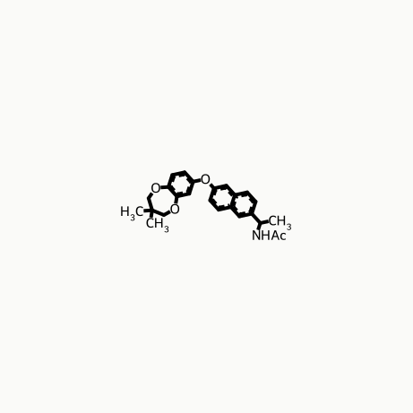 CC(=O)NC(C)c1ccc2cc(Oc3ccc4c(c3)OCC(C)(C)CO4)ccc2c1